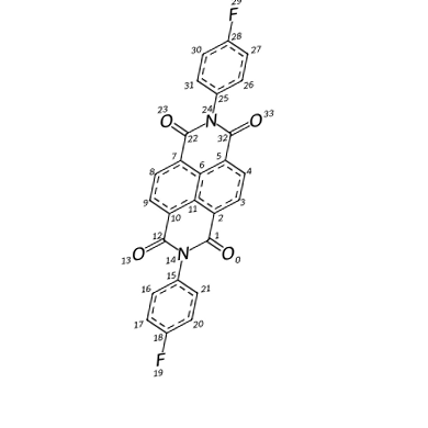 O=C1c2ccc3c4c(ccc(c24)C(=O)N1c1ccc(F)cc1)C(=O)N(c1ccc(F)cc1)C3=O